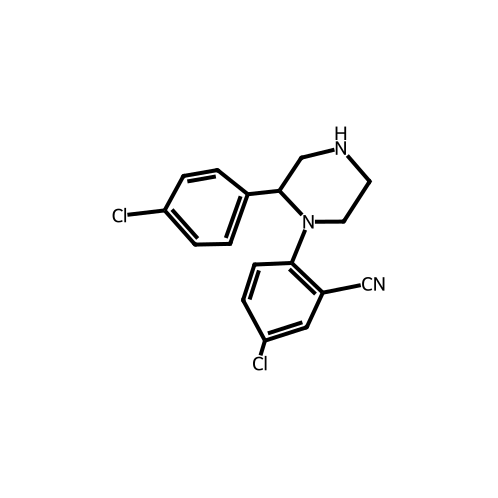 N#Cc1cc(Cl)ccc1N1CCNCC1c1ccc(Cl)cc1